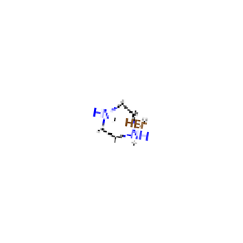 Br.C1CNCCN1